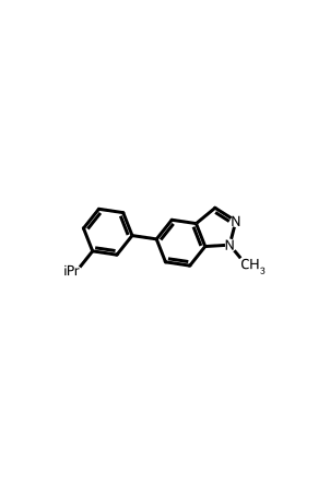 CC(C)c1cccc(-c2ccc3c(cnn3C)c2)c1